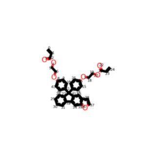 C=CC(=O)OCCOc1ccc(C2(c3ccc(OCCOC(=O)C=C)cc3)c3ccccc3-c3cc4occc4cc32)cc1